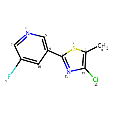 Cc1sc(-c2cncc(F)c2)nc1Cl